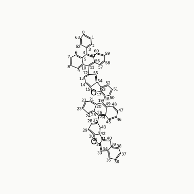 c1ccc(-c2c3ccccc3c(-c3ccc4oc5c(-c6c7ccccc7c(-c7ccc8oc9cc%10ccccc%10cc9c8c7)c7ccccc67)cccc5c4c3)c3ccccc23)cc1